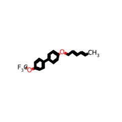 CC=CC=CCOc1ccc(-c2ccc(OC(F)(F)F)cc2)cc1